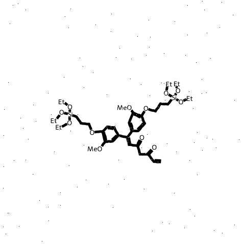 C=CC(=O)CC(=O)C=C(c1ccc(OCCC[Si](OCC)(OCC)OCC)c(OC)c1)c1ccc(OCCC[Si](OCC)(OCC)OCC)c(OC)c1